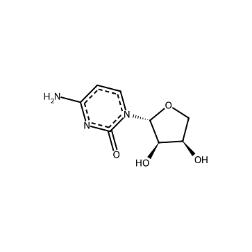 Nc1ccn([C@@H]2OC[C@@H](O)[C@H]2O)c(=O)n1